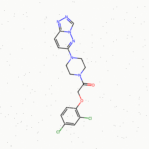 O=C(COc1ccc(Cl)cc1Cl)N1CCN(c2ccc3nncn3n2)CC1